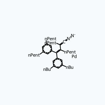 CCCCCC(=C=[N+]=[N-])C(CCCCC)=C(c1cc(CCCC)cc(CCCC)c1)c1cc(CCCCC)cc(CCCCC)c1.[Pd]